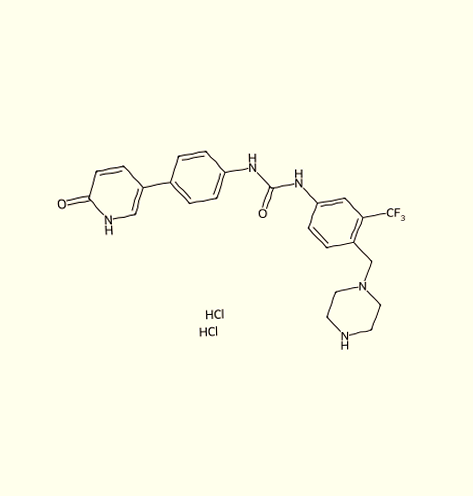 Cl.Cl.O=C(Nc1ccc(-c2ccc(=O)[nH]c2)cc1)Nc1ccc(CN2CCNCC2)c(C(F)(F)F)c1